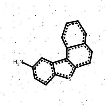 Nc1ccc2sc3ccc4ccccc4c3c2c1